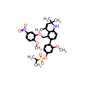 COc1ccc([N+](=O)[O-])cc1OCc1c(-c2ccc(OS(=O)(=O)C(C)C)cc2OC)ccc2c1C(C)=CC(C)(C)N2